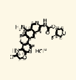 Cc1c(-c2cc3cc(NC(=O)O[C@@H]4COC[C@H]4C)ncc3c(N)c2F)cnc2c1NC(=O)CO2.Cl